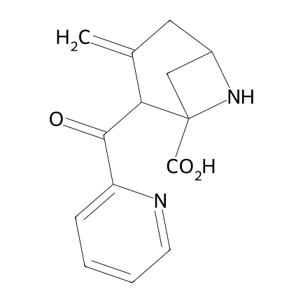 C=C1CC2CC(C(=O)O)(N2)C1C(=O)c1ccccn1